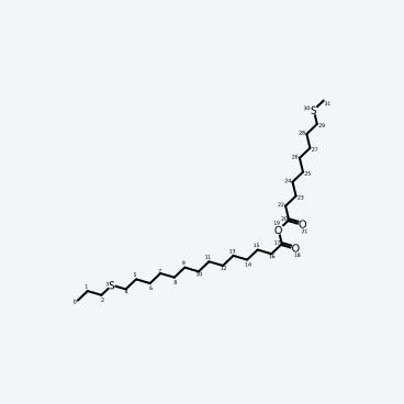 CCCSCCCCCCCCCCCCCC(=O)OC(=O)CCCCCCCCSC